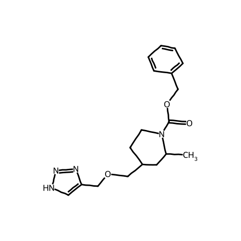 CC1CC(COCc2c[nH]nn2)CCN1C(=O)OCc1ccccc1